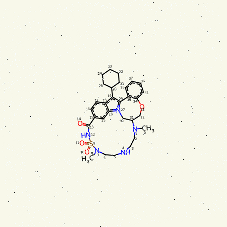 CN1CCNCCN(C)S(=O)(=O)NC(=O)c2ccc3c(C4CCCCC4)c4n(c3c2)CC1COc1ccccc1-4